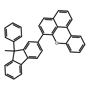 CC1(c2ccccc2)c2ccccc2-c2ccc(-c3ccc4cccc5c4c3Oc3ccccc3-5)cc21